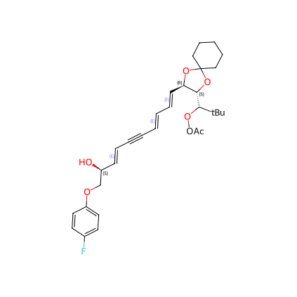 CC(=O)OOC([C@H]1OC2(CCCCC2)O[C@@H]1/C=C/C=C/C#C/C=C/[C@H](O)COc1ccc(F)cc1)C(C)(C)C